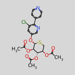 CC(=O)O[C@@H]1[C@@H](OC(C)=O)[C@@H](Oc2cnc(-c3ccncc3)c(Cl)c2)SC[C@H]1OC(C)=O